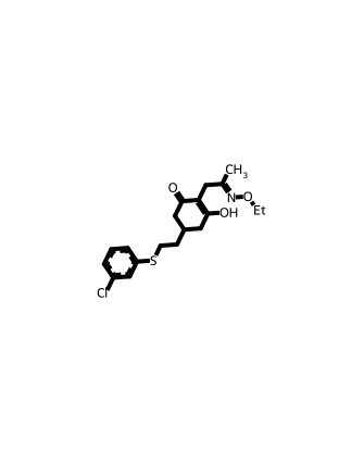 CCON=C(C)CC1=C(O)CC(CCSc2cccc(Cl)c2)CC1=O